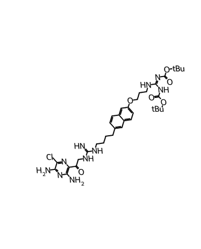 CC(C)(C)OC(=O)/N=C(/NCCCOc1ccc2cc(CCCCNC(=N)NCC(=O)c3nc(Cl)c(N)nc3N)ccc2c1)NC(=O)OC(C)(C)C